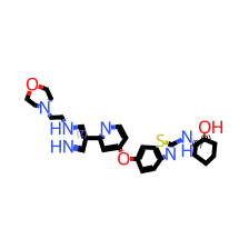 N=C/C(=C\NCCN1CCOCC1)c1cc(Oc2ccc3nc(N[C@@H]4CCCC[C@H]4O)sc3c2)ccn1